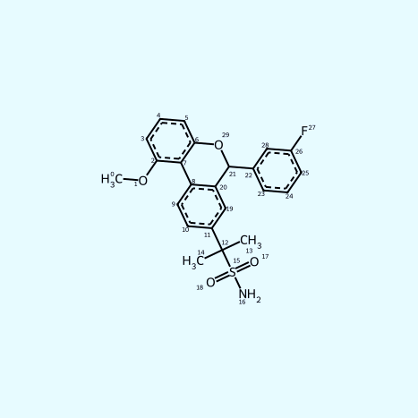 COc1cccc2c1-c1ccc(C(C)(C)S(N)(=O)=O)cc1C(c1cccc(F)c1)O2